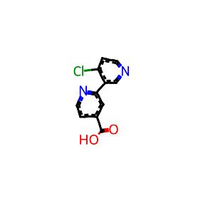 O=C(O)c1ccnc(-c2cnccc2Cl)c1